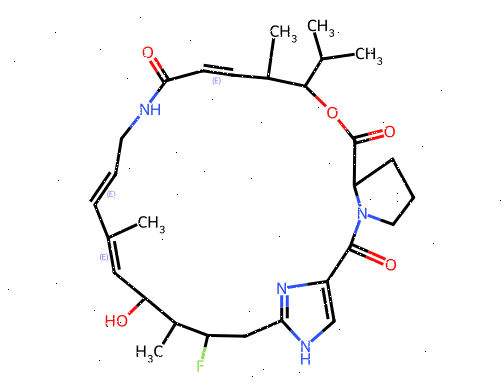 CC1=C\C(O)C(C)C(F)Cc2nc(c[nH]2)C(=O)N2CCCC2C(=O)OC(C(C)C)C(C)/C=C/C(=O)NC\C=C\1